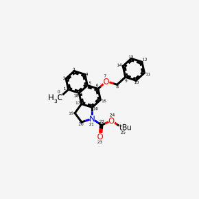 Cc1cccc2c(OCc3ccccc3)cc3c(c12)CCN3C(=O)OC(C)(C)C